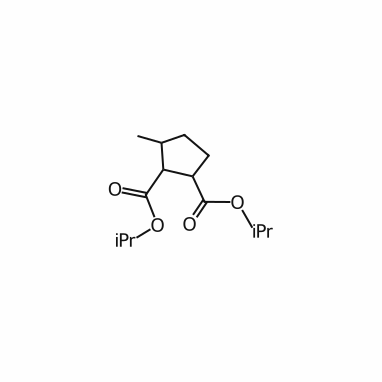 CC(C)OC(=O)C1CCC(C)C1C(=O)OC(C)C